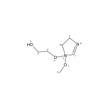 CO[N+]1(OCCO)C=NCC1